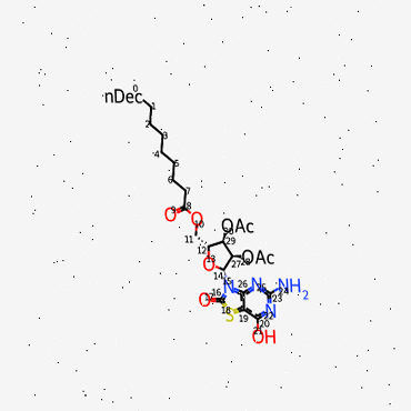 CCCCCCCCCCCCCCCCCC(=O)OC[C@H]1O[C@@H](n2c(=O)sc3c(O)nc(N)nc32)[C@H](OC(C)=O)[C@@H]1OC(C)=O